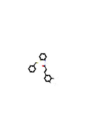 COc1ccc(C=CC(=O)Nc2ccccc2SCc2ccccc2)cc1OC(C)=O